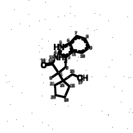 CC(Cc1c[nH]c2ccccc12)(C(N)=O)C1(CO)CCCC1